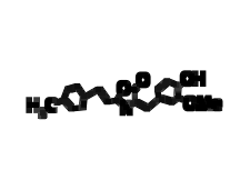 COc1cc(C=C2N=C(C=Cc3ccc(C)cc3)OC2=O)ccc1O